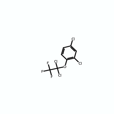 FC(F)(F)C(Cl)(Cl)Oc1ccc(Cl)cc1Cl